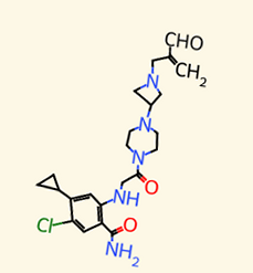 C=C(C=O)CN1CC(N2CCN(C(=O)CNc3cc(C4CC4)c(Cl)cc3C(N)=O)CC2)C1